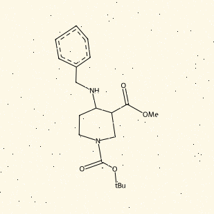 COC(=O)C1CN(C(=O)OC(C)(C)C)CCC1NCc1ccccc1